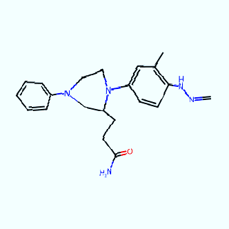 C=NNc1ccc(N2CCN(c3ccccc3)CC2CCC(N)=O)cc1C